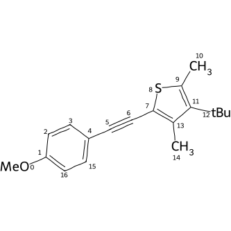 COc1ccc(C#Cc2sc(C)c(C(C)(C)C)c2C)cc1